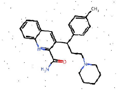 Cc1ccc(C(CCN2CCCCC2)c2cc3ccccc3nc2C(N)=O)cc1